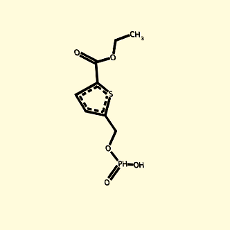 CCOC(=O)c1ccc(CO[PH](=O)O)s1